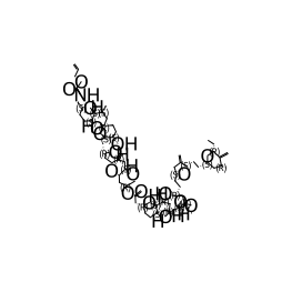 C=CCOC(=O)NC[C@@H]1CC[C@@H]2O[C@]3(CC[C@H](O)[C@H](C[C@H]4CC5OC6C[C@@H](OC(=O)C[C@H]7CC[C@@H]8O[C@@H]9C[C@@H](O[C@@]%10(CC[C@H]%11CC(=C)[C@H](CC[C@H]%12C[C@@H](C)C(=C)[C@@H](CC)O%12)O%11)C[C@@H](OC)[C@@H]9O%10)[C@H]8O7)CO[C@H]6C[C@H]5O4)O3)C[C@H](C)[C@@H]2O1